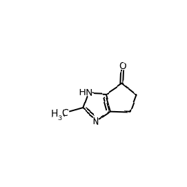 Cc1nc2c([nH]1)C(=O)CC2